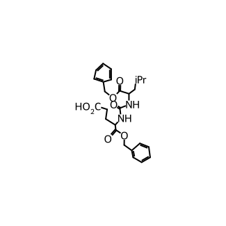 CC(C)CC(NC(=O)NC(CCC(=O)O)C(=O)OCc1ccccc1)C(=O)OCc1ccccc1